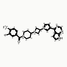 O=C(c1ccc(C(F)(F)F)c(F)c1)N1CCC(N2C[C](n3ccc(-c4ncnc5[nH]ccc45)c3)C2)CC1